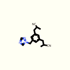 CC(C#N)Cc1cc(CC(C)C#N)cc(Cn2cncn2)c1